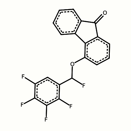 O=C1c2ccccc2-c2c(OC(F)c3cc(F)c(F)c(F)c3F)cccc21